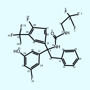 O=C(NCC(F)(F)F)NC(Cc1ccccc1)(c1cc(O)cc(F)c1)c1ccc(F)c(C(F)(F)F)c1